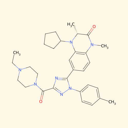 CCN1CCN(C(=O)c2nc(-c3ccc4c(c3)N(C3CCCC3)[C@H](C)C(=O)N4C)n(-c3ccc(C)cc3)n2)CC1